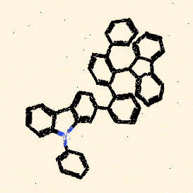 c1ccc(-c2cccc(-c3ccccc3-c3ccc4c5ccccc5n(-c5ccccc5)c4c3)c2C2c3ccccc3-c3ccccc32)cc1